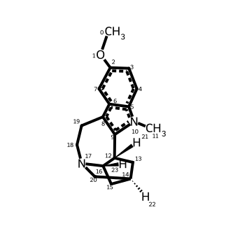 COc1ccc2c(c1)c1c(n2C)[C@@H]2C[C@H]3C[C@@H]2N(CC1)C3